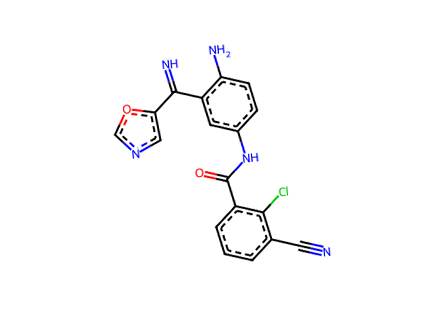 N#Cc1cccc(C(=O)Nc2ccc(N)c(C(=N)c3cnco3)c2)c1Cl